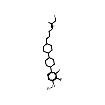 CCOc1ccc(C2CCC(C3CCC(CCC/C=C(\F)CF)CC3)CC2)c(F)c1F